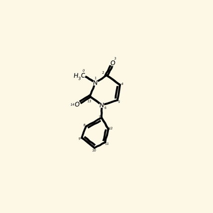 Cn1c(=O)ccn(-c2ccccc2)c1=O